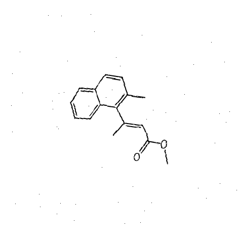 COC(=O)C=C(C)c1c(C)ccc2ccccc12